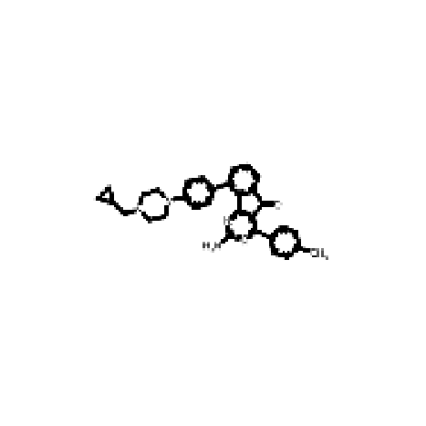 Cc1ccc(-c2nc(N)nc3c2C(=O)c2cccc(-c4ccc(N5CCN(CC6CC6)CC5)cc4)c2-3)cc1